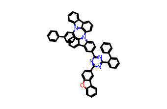 c1ccc(-c2cccc(-n3c4ccccc4c4cccc(-n5c6ccccc6c6cc(-c7nc(-c8ccc9oc%10ccccc%10c9c8)nc(-c8ccccc8-c8ccccc8)n7)ccc65)c43)c2)cc1